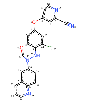 N#Cc1cc(Oc2ccc(NN(C=O)c3ccc4ncccc4c3)c(Cl)c2)ccn1